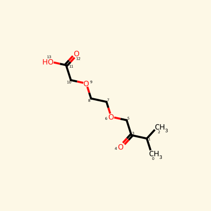 CC(C)C(=O)COCCOCC(=O)O